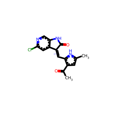 CC(=O)c1cc(C)[nH]c1/C=C1\C(=O)Nc2cnc(Cl)cc21